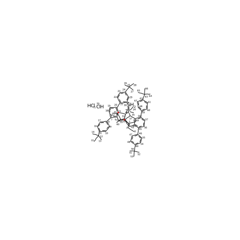 CCC(C)C1=Cc2c(-c3ccc(C(C)(C)C)cc3)ccc(-c3ccc(C(C)(C)C)cc3)c2[CH]1[Zr]([CH3])([CH3])(=[SiH2])[CH]1C(C(C)CC)=Cc2c(-c3ccc(C(C)(C)C)cc3)ccc(-c3ccc(C(C)(C)C)cc3)c21.Cl.Cl